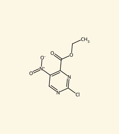 CCOC(=O)c1nc(Cl)ncc1[N+](=O)[O-]